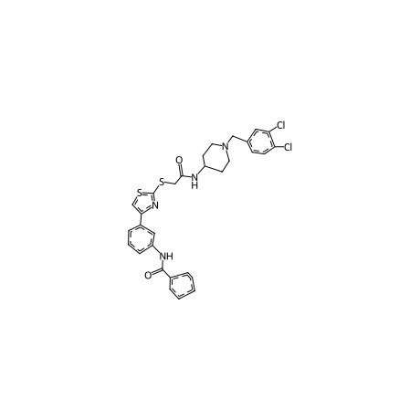 O=C(CSc1nc(-c2cccc(NC(=O)c3ccccc3)c2)cs1)NC1CCN(Cc2ccc(Cl)c(Cl)c2)CC1